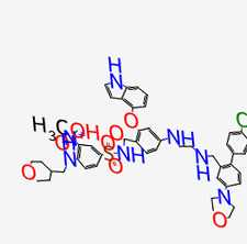 C[N+]([O-])(O)c1cc(S(=O)(=O)NC(=O)c2ccc(NCCNCc3cc(N4CCOCC4)ccc3-c3ccc(Cl)cc3)cc2Oc2cccc3[nH]ccc23)ccc1NCC1CCOCC1